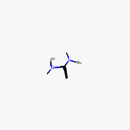 C=C(N(C)C(C)C)N(C)C(C)CC